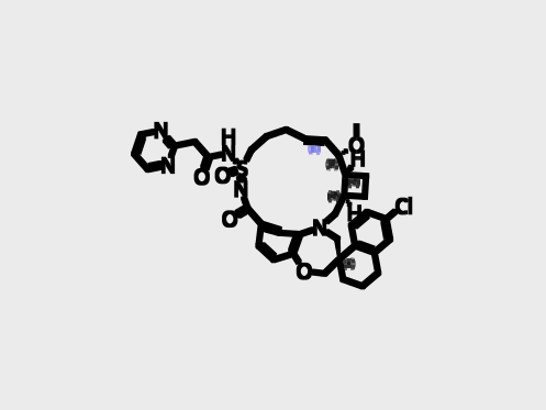 CO[C@H]1/C=C/CCCS(=O)(NC(=O)Cc2ncccn2)=NC(=O)c2ccc3c(c2)N(C[C@@H]2CC[C@H]21)C[C@@]1(CCCc2cc(Cl)ccc21)CO3